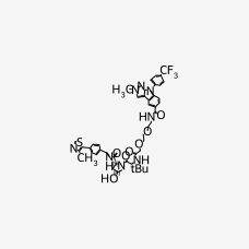 Cc1ncsc1-c1ccc(CNC(=O)[C@@H]2C[C@@H](O)CN2C(=O)C(NC(=O)COCCOCCNC(=O)c2ccc3c(c2)c2cn(C)nc2n3-c2ccc(C(F)(F)F)cc2)C(C)(C)C)cc1